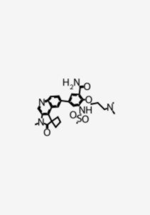 CN(C)CCCOc1c(NS(C)(=O)=O)cc(-c2ccc3ncc4c(c3c2)C2(CCC2)C(=O)N4C)cc1C(N)=O